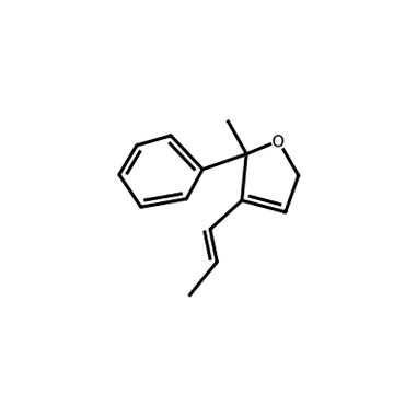 C/C=C/C1=CCOC1(C)c1ccccc1